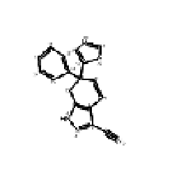 N#Cc1n[nH]c2c1C=CC(c1ccccc1)(c1cncs1)C2